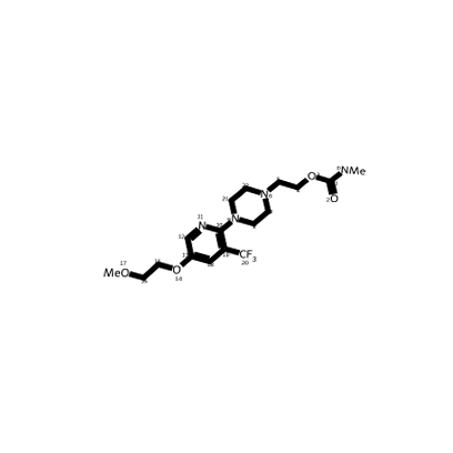 CNC(=O)OCCN1CCN(c2ncc(OCCOC)cc2C(F)(F)F)CC1